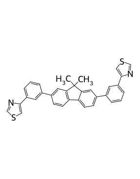 CC1(C)c2cc(-c3cccc(-c4cscn4)c3)ccc2-c2ccc(-c3cccc(-c4cscn4)c3)cc21